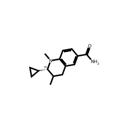 CC1Cc2cc(C(N)=O)ccc2N(C)[C@H]1C1CC1